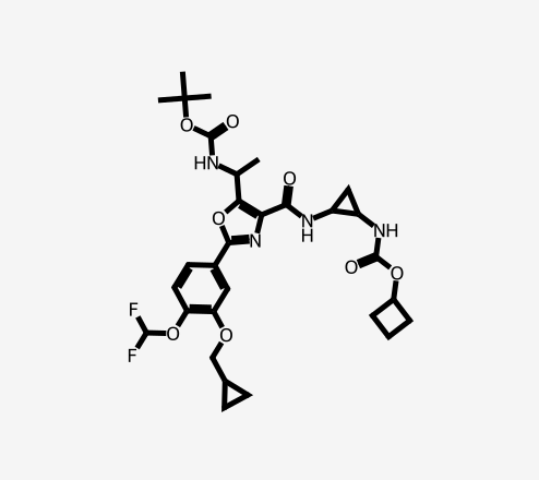 CC(NC(=O)OC(C)(C)C)c1oc(-c2ccc(OC(F)F)c(OCC3CC3)c2)nc1C(=O)NC1CC1NC(=O)OC1CCC1